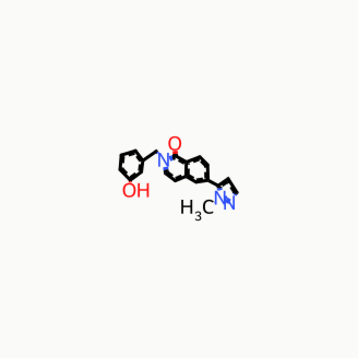 Cn1nccc1-c1ccc2c(=O)n(Cc3cccc(O)c3)ccc2c1